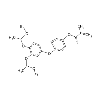 C=C(C)C(=O)Oc1ccc(Oc2ccc(OC(C)OCC)c(OC(C)OCC)c2)cc1